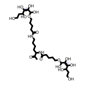 CC(=O)C(CCCCNC(=O)CCCCOC(O)/C(O)=C(/O)C(O)CCO)NC(=O)CCCCOC(O)/C(O)=C(/O)C(O)CCO